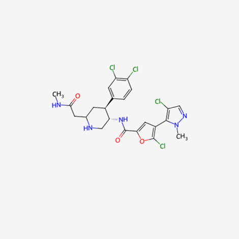 CNC(=O)CC1C[C@@H](c2ccc(Cl)c(Cl)c2)[C@H](NC(=O)c2cc(-c3c(Cl)cnn3C)c(Cl)o2)CN1